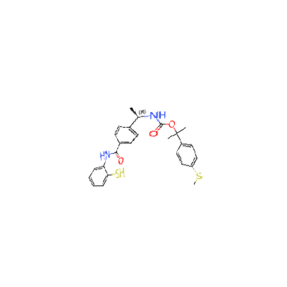 CSc1ccc(C(C)(C)OC(=O)N[C@H](C)c2ccc(C(=O)Nc3ccccc3S)cc2)cc1